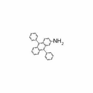 Nc1ccc2c(-c3ccccc3)c3ccccc3c(-c3ccccc3)c2c1